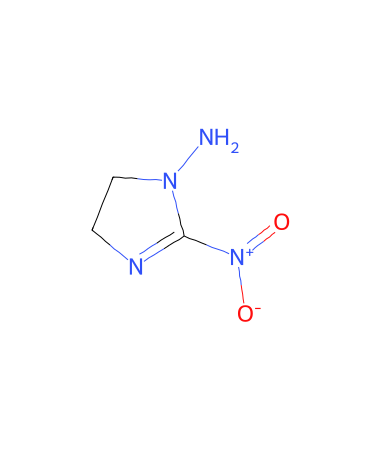 NN1CCN=C1[N+](=O)[O-]